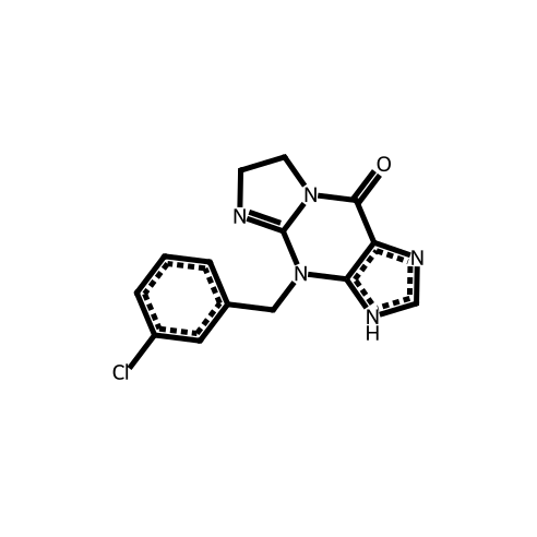 O=C1c2nc[nH]c2N(Cc2cccc(Cl)c2)C2=NCCN12